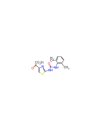 CCOC(=O)C(=O)c1csc(NC(=O)Nc2c(C)cccc2C)n1